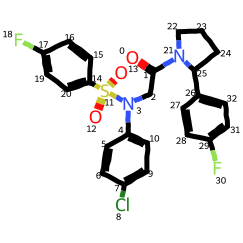 O=C(CN(c1ccc(Cl)cc1)S(=O)(=O)c1ccc(F)cc1)N1CCCC1c1ccc(F)cc1